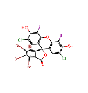 O=C1OC2(c3cc(Cl)c(O)c(I)c3Oc3c2cc(Cl)c(O)c3I)c2c(Br)c(Br)c(Br)c(Br)c21